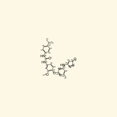 COc1cc(NC(=O)Nc2ccc(C(C)C)cc2)ccc1Oc1nc(C)cc(NC2=CC(=O)N=N2)n1